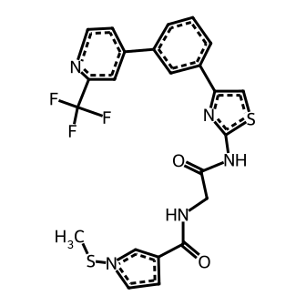 CSn1ccc(C(=O)NCC(=O)Nc2nc(-c3cccc(-c4ccnc(C(F)(F)F)c4)c3)cs2)c1